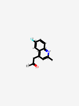 CCC(=O)Cc1cc(C)nc2ccc(F)cc12